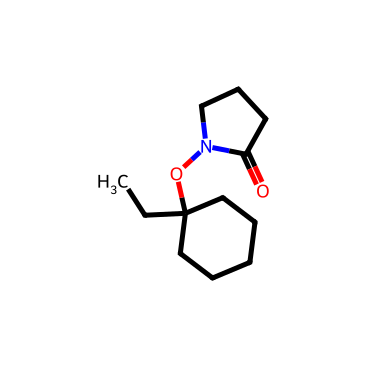 CCC1(ON2CCCC2=O)CCCCC1